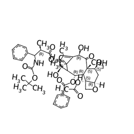 CC(=O)O[C@@]12CO[C@@H]1C[C@H](O)[C@@]1(C)C(=O)[C@H](O)C3=C(C)[C@@H](OC(=O)[C@H](C)C(NC(=O)OC(C)(C)C)c4ccccc4)[C@H](O)C([C@@H](OC(=O)c4ccccc4)[C@H]21)C3(C)C